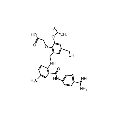 Cc1ccc(NCc2cc(CO)cc(OC(C)C)c2OCC(=O)O)c(C(=O)Nc2ccc(C(=N)N)nc2)c1